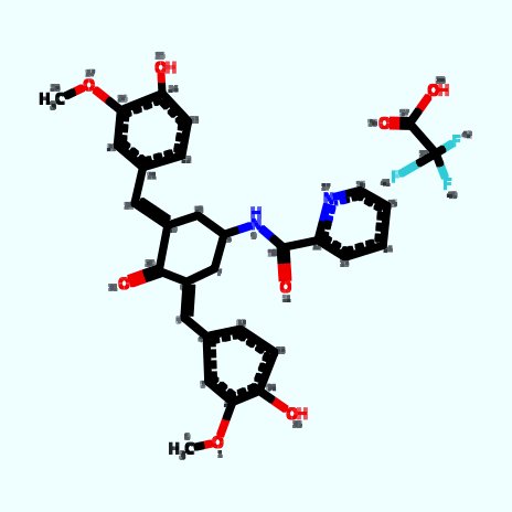 COc1cc(/C=C2\CC(NC(=O)c3ccccn3)C/C(=C\c3ccc(O)c(OC)c3)C2=O)ccc1O.O=C(O)C(F)(F)F